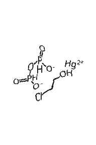 O=[PH]([O-])O[PH](=O)[O-].OCCCl.[Hg+2]